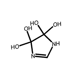 OC1(O)N=CNC1(O)O